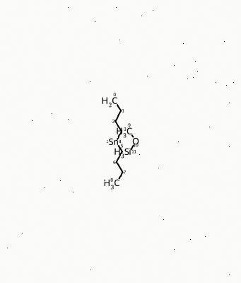 CCC[CH2][Sn][CH2]CCC.CO[SiH3]